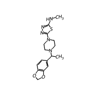 CNc1nnc(N2CCN(C(C)c3ccc4c(c3)OCO4)CC2)s1